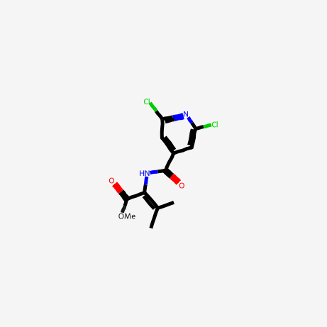 COC(=O)C(NC(=O)c1cc(Cl)nc(Cl)c1)=C(C)C